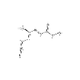 CC(C)(C)OC(=O)N=N[C@@H](CN=[N+]=[N-])C(=O)O